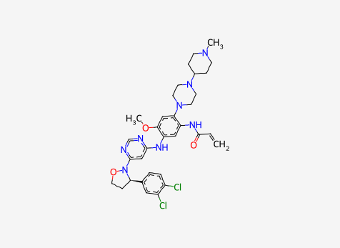 C=CC(=O)Nc1cc(Nc2cc(N3OCC[C@@H]3c3ccc(Cl)c(Cl)c3)ncn2)c(OC)cc1N1CCN(C2CCN(C)CC2)CC1